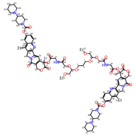 CCOCC(OCCCOC(COCC)OCC(=O)NCC(=O)O[C@]1(I)C(=O)OCc2c1cc1n(c2=O)Cc2c-1nc1ccc(OC(=O)N3CCC(N4CCCCC4)CC3)cc1c2CC)OCC(=O)NCC(=O)O[C@]1(I)C(=O)OCc2c1cc1n(c2=O)Cc2c-1nc1ccc(OC(=O)N3CCC(N4CCCCC4)CC3)cc1c2CC